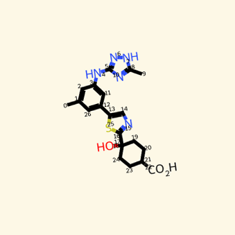 Cc1cc(Nc2n[nH]c(C)n2)cc(-c2cnc(C3(O)CCC(C(=O)O)CC3)s2)c1